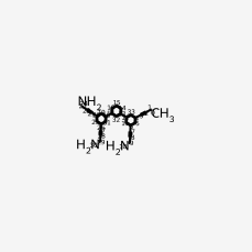 CCC#Cc1cc(C#CCN)cc(-c2cccc(-c3cc(C#CCN)cc(C#CCN)c3)c2)c1